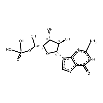 Nc1nc2c(ncn2[C@@H]2O[C@H](C(O)OP(=O)(O)O)[C@H](O)[C@H]2O)c(=O)[nH]1